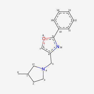 CC1CCN(Cc2coc(-c3ccccc3)n2)C1